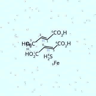 O=C(O)/C=C/C(=O)O.O=C(O)/C=C/C(=O)O.S.[Fe].[Fe]